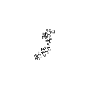 O=C(NC1CCS(=O)(=O)C1)c1ccc(OCCN2CCC3(CC2)C(=O)Nc2ccc(Cl)cc23)cc1F